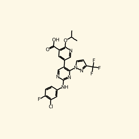 CC(C)Oc1ncc(-c2cnc(Nc3ccc(F)c(Cl)c3)nc2-n2ccc(C(F)(F)F)n2)cc1C(=O)O